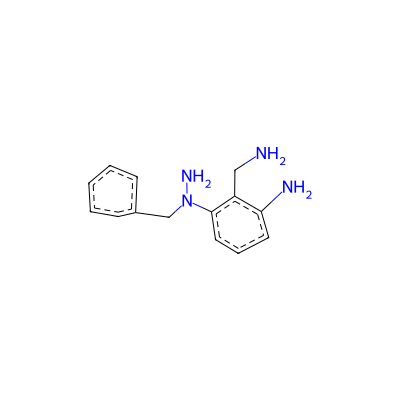 NCc1c(N)cccc1N(N)Cc1ccccc1